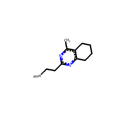 CNCCc1nc(C)c2c(n1)CCCC2